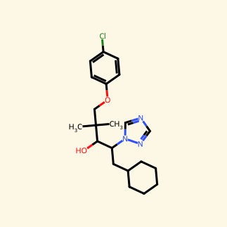 CC(C)(COc1ccc(Cl)cc1)C(O)C(CC1CCCCC1)n1cncn1